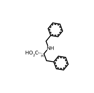 O=C(O)[C@@H](Cc1ccccc1)NCc1ccccc1